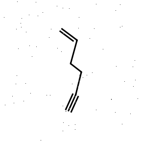 [C]#CCCC=C